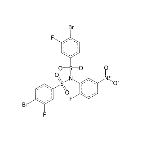 O=[N+]([O-])c1ccc(F)c(N(S(=O)(=O)c2ccc(Br)c(F)c2)S(=O)(=O)c2ccc(Br)c(F)c2)c1